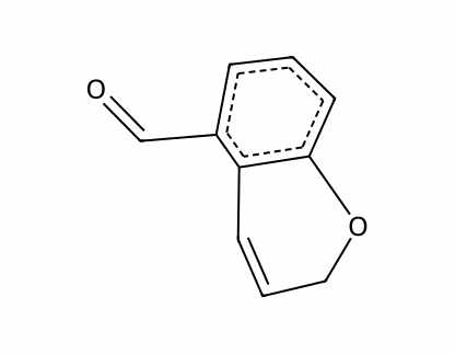 O=Cc1cccc2c1C=CCO2